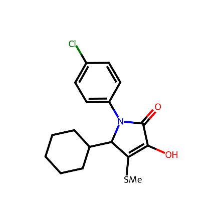 CSC1=C(O)C(=O)N(c2ccc(Cl)cc2)C1C1CCCCC1